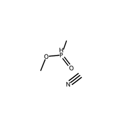 C#N.CO[PH](C)=O